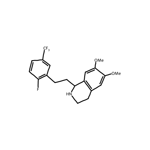 COc1cc2c(cc1OC)C(CCc1cc(C(F)(F)F)ccc1F)NCC2